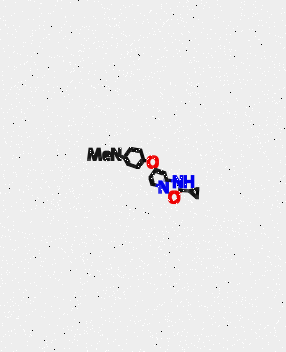 CNc1ccc(Oc2ccnc(NC(=O)C3CC3)c2)cc1